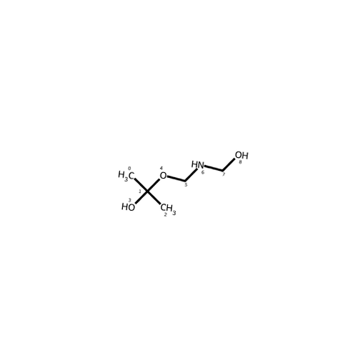 CC(C)(O)OCNCO